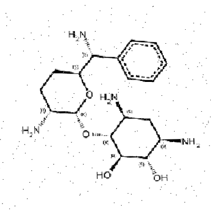 N[C@@H]1CC[C@@H]([C@H](N)c2ccccc2)O[C@@H]1O[C@H]1[C@H](O)[C@@H](O)[C@H](N)C[C@@H]1N